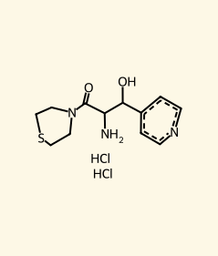 Cl.Cl.NC(C(=O)N1CCSCC1)C(O)c1ccncc1